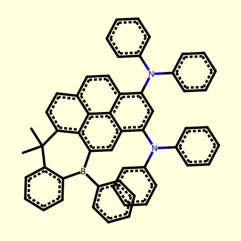 CC1(C)c2ccccc2B(c2ccccc2)c2cc3c(N(c4ccccc4)c4ccccc4)cc(N(c4ccccc4)c4ccccc4)c4ccc5ccc1c2c5c43